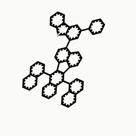 c1ccc(-c2cc(-c3ccc4c5c(cccc35)-c3c-4c(-c4cccc5ccccc45)c4ccccc4c3-c3cccc4ccccc34)c3sc4ccccc4c3c2)cc1